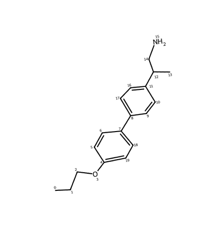 CCCOc1ccc(-c2ccc(C(C)CN)cc2)cc1